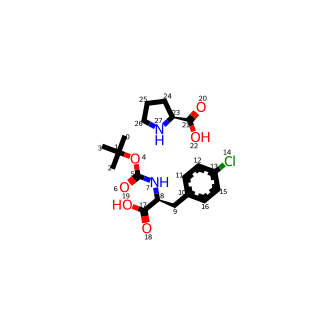 CC(C)(C)OC(=O)N[C@@H](Cc1ccc(Cl)cc1)C(=O)O.O=C(O)[C@@H]1CCCN1